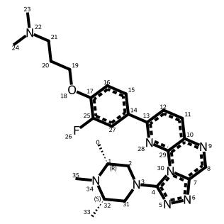 C[C@@H]1CN(c2nnc3cnc4ccc(-c5ccc(OCCCN(C)C)c(F)c5)nc4n23)C[C@H](C)N1C